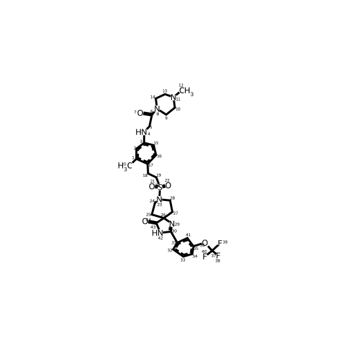 Cc1cc(NCC(=O)N2CCN(C)CC2)ccc1CCS(=O)(=O)N1CCC2(CC1)N=C(c1cccc(OC(F)(F)F)c1)NC2=O